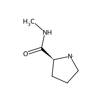 CNC(=O)[C@@H]1CCC[N]1